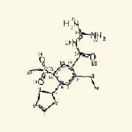 CCc1cc(C2CC=CC2)c(S(C)(=O)=O)cc1C(=O)N=C(N)N